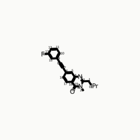 CC(C)Cc1nc2cc(C#Cc3cccc(F)c3)ccc2c(=O)n1C